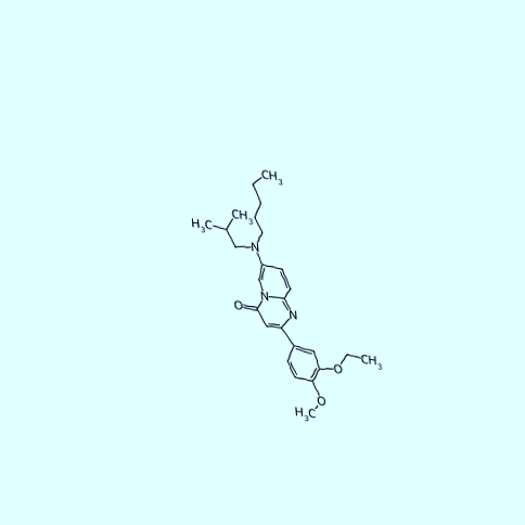 CCCCCN(CC(C)C)c1ccc2nc(-c3ccc(OC)c(OCC)c3)cc(=O)n2c1